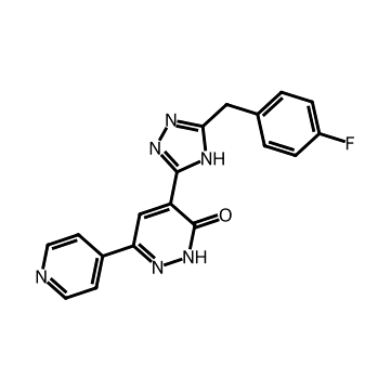 O=c1[nH]nc(-c2ccncc2)cc1-c1nnc(Cc2ccc(F)cc2)[nH]1